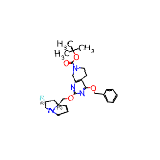 CC(C)(C)OC(=O)N1CCc2c(nc(OC[C@@]34CCCN3C[C@H](F)C4)nc2OCc2ccccc2)C1